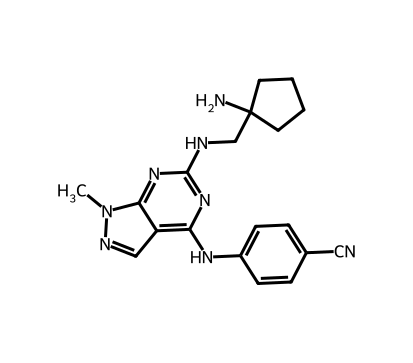 Cn1ncc2c(Nc3ccc(C#N)cc3)nc(NCC3(N)CCCC3)nc21